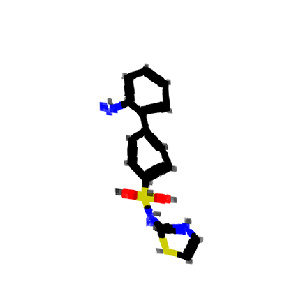 Nc1ccccc1-c1ccc(S(=O)(=O)Nc2nccs2)cc1